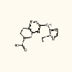 CCn1nccc1Nc1ncc2c(n1)CN(C(=O)O)CC2